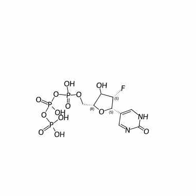 O=c1ncc([C@@H]2O[C@H](COP(=O)(O)OP(=O)(O)OP(=O)(O)O)C(O)[C@@H]2F)c[nH]1